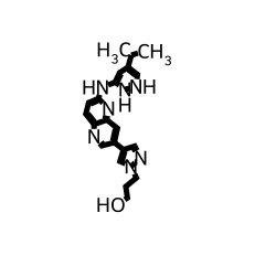 CC(C)C1=CNNC(Nc2ccc3ncc(-c4cnn(CCCO)c4)cc3n2)=C1